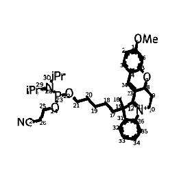 COc1ccc2c(c1)OC1CC[N+]3=C(C1=C2)C(C)(CCCCCOP(OCCC#N)N(C(C)C)C(C)C)c1ccccc13